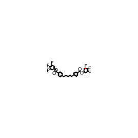 O=C(Oc1cc(F)c(F)c(F)c1)c1ccc(CCCCCc2ccc(C(=O)Oc3cc(F)c(F)c(F)c3)cc2)cc1